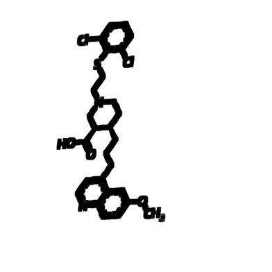 COc1ccc2nccc(CCC[C@@H]3CCN(CCSc4c(Cl)cccc4Cl)C[C@@H]3C(=O)O)c2c1